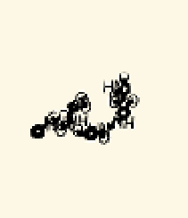 CS(=O)(=O)n1ccc(C(=O)N[C@@H](COCc2ccc(C(=O)NCCNc3ccc4c(c3)C(=O)N(C3CCC(=O)NC3=O)C4=O)cc2)C(=O)Nc2nc(-c3ccccc3)cs2)c1